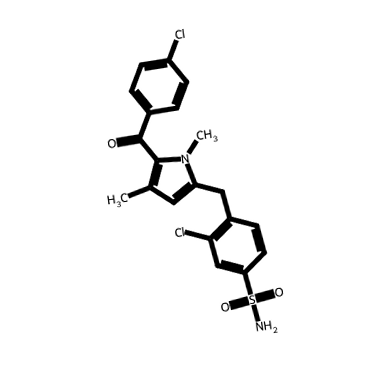 Cc1cc(Cc2ccc(S(N)(=O)=O)cc2Cl)n(C)c1C(=O)c1ccc(Cl)cc1